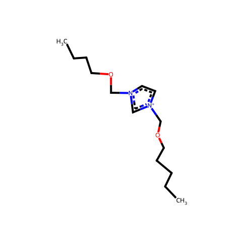 CCCCCOC[n+]1ccn(COCCCC)c1